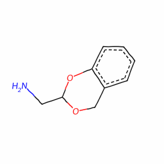 NCC1OCc2ccccc2O1